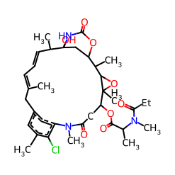 CCC(=O)N(C)C(C)C(=O)OC1CC(=O)N(C)c2cc(cc(C)c2Cl)C/C(C)=C/C=C/C(C)C2(O)CC(OC(=O)N2)C(C)C2OC12C